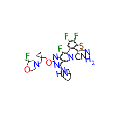 CC1(F)COCCN(CC2(COc3nc(N4CC5CCC(C4)N5)c4cnc(-c5cc(F)c(F)c6sc(N)c(C#N)c56)c(F)c4n3)CC2)C1